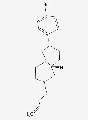 C=CCCC1CCC2C[C@H](c3ccc(Br)cc3)CC[C@@H]2C1